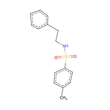 Cc1ccc(S(=O)(=O)NCCc2ccccc2)cc1